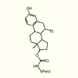 CCCCCNC(=O)OC1CCC2C3C(CC)Cc4cc(O)ccc4C3CCC12C